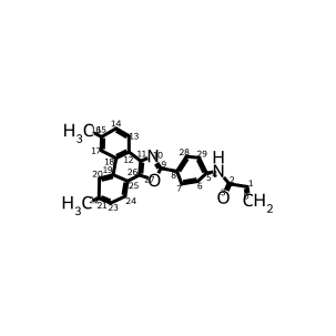 C=CC(=O)Nc1ccc(-c2nc3c4ccc(C)cc4c4cc(C)ccc4c3o2)cc1